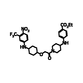 CCOC(=O)c1ccc(NC2CCN(C(=O)COC3CCC(Nc4ccc([N+](=O)[O-])c(C(F)(F)F)c4)CC3)CC2)cc1